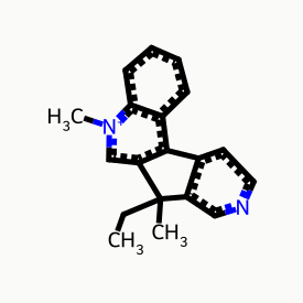 CCC1(C)c2cnccc2-c2c1c[n+](C)c1ccccc21